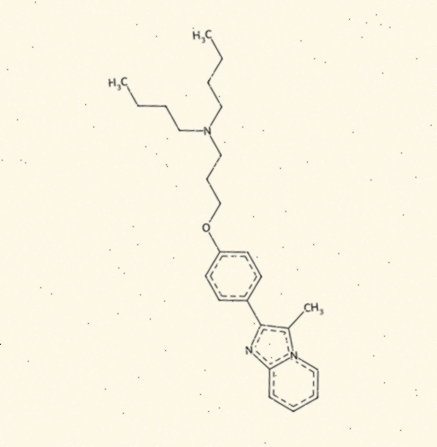 CCCCN(CCCC)CCCOc1ccc(-c2nc3ccccn3c2C)cc1